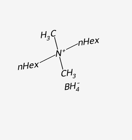 CCCCCC[N+](C)(C)CCCCCC.[BH4-]